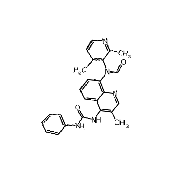 Cc1ccnc(C)c1N(C=O)c1cccc2c(NC(=O)Nc3ccccc3)c(C)cnc12